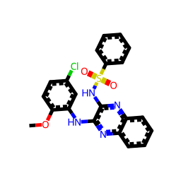 COc1ccc(Cl)cc1Nc1nc2ccccc2nc1NS(=O)(=O)c1ccccc1